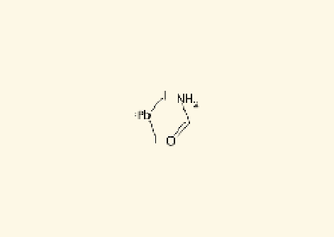 NC=O.[I][Pb][I]